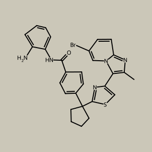 Cc1nc2ccc(Br)cn2c1-c1csc(C2(c3ccc(C(=O)Nc4ccccc4N)cc3)CCCC2)n1